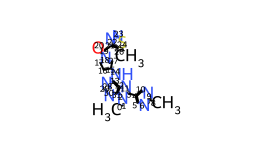 CCn1c(-c2cnc(C)nc2)nc2c(NC3CCN(C(=O)c4nnsc4C)C3)ncnc21